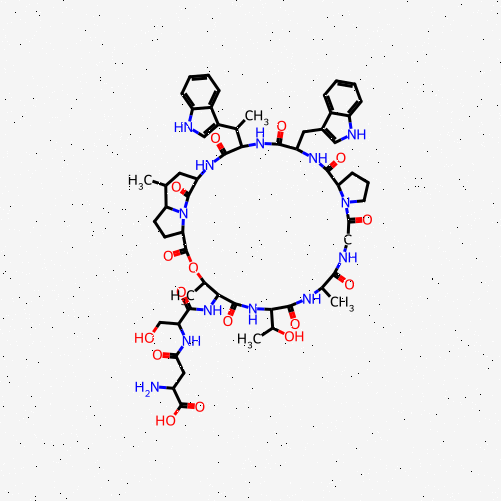 CC1NC(=O)C(C(C)O)NC(=O)C(NC(=O)C(CO)NC(=O)CC(N)C(=O)O)C(C)OC(=O)C2CCC3C(C)CC(NC(=O)C(C(C)c4c[nH]c5ccccc45)NC(=O)C(Cc4c[nH]c5ccccc45)NC(=O)C4CCCN4C(=O)CNC1=O)C(=O)N23